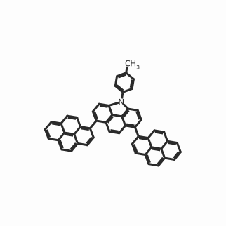 Cc1ccc(-n2c3ccc(-c4ccc5ccc6cccc7ccc4c5c67)c4ccc5c(-c6ccc7ccc8cccc9ccc6c7c89)ccc2c5c43)cc1